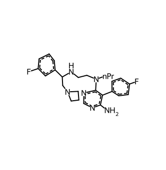 CCCN(CCNC(CN1CCC1)c1cccc(F)c1)c1ncnc(N)c1-c1ccc(F)cc1